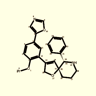 CC(C)Oc1ccc(-c2cnco2)cc1C1=C[C@@]2(CCCN[C@H]2c2ccccc2)OC1